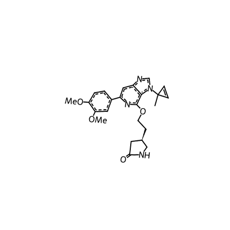 COc1ccc(-c2cc3ncn(C4(C)C=C4)c3c(OCC[C@H]3CNC(=O)C3)n2)cc1OC